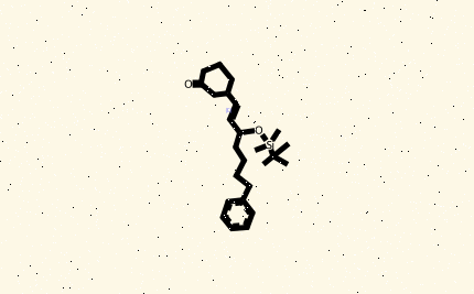 CC(C)(C)[Si](C)(C)OC(/C=C/C1CCCC(=O)C1)CCCCc1ccccc1